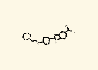 NC(=O)c1ccc2[nH]c(-c3ccc(OCCN4CCCCC4)cc3)nc2c1